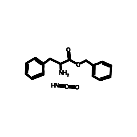 N=C=O.NC(Cc1ccccc1)C(=O)OCc1ccccc1